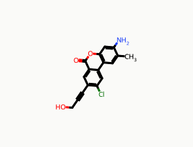 Cc1cc2c(cc1N)oc(=O)c1cc(C#CCO)c(Cl)cc12